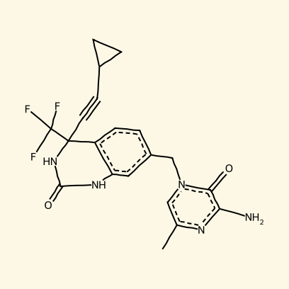 Cc1cn(Cc2ccc3c(c2)NC(=O)NC3(C#CC2CC2)C(F)(F)F)c(=O)c(N)n1